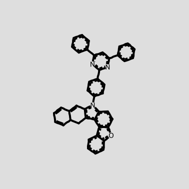 C1=CC2=Cc3c(c4c5c(ccc4n3-c3ccc(-c4nc(-c6ccccc6)cc(-c6ccccc6)n4)cc3)oc3ccccc35)CC2C=C1